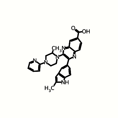 Cc1cc2cc(-c3nc4ccc(C(=O)O)cc4nc3N3CCN(c4ccccn4)CC3C)ccc2[nH]1